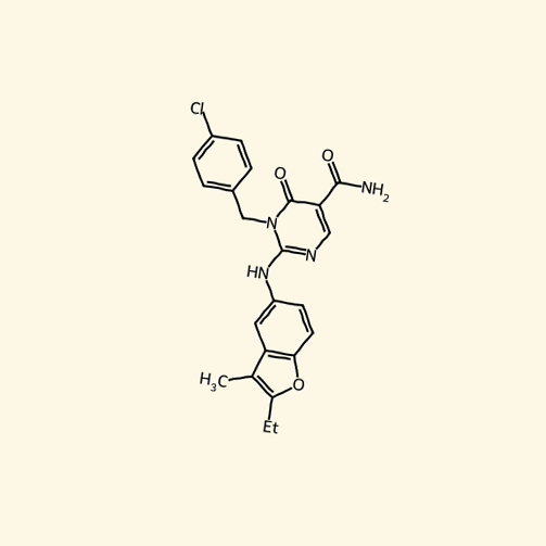 CCc1oc2ccc(Nc3ncc(C(N)=O)c(=O)n3Cc3ccc(Cl)cc3)cc2c1C